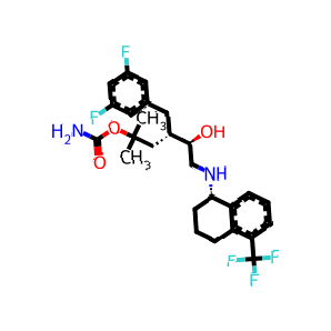 CC(C)(C[C@H](Cc1cc(F)cc(F)c1)[C@@H](O)CN[C@H]1CCCc2c1cccc2C(F)(F)F)OC(N)=O